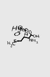 CSCCC(N)C(=O)O.O=[Se](O)O